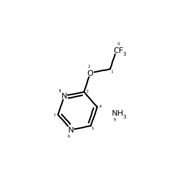 FC(F)(F)COc1ccncn1.N